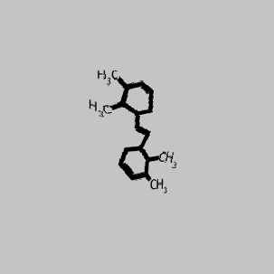 CC1C=CCC(C=CC2CC=CC(C)C2C)C1C